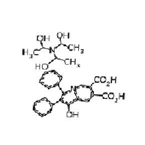 CC(O)N(C(C)O)C(C)O.O=C(O)c1cc2c(O)c(-c3ccccc3)c(-c3ccccc3)n2cc1C(=O)O